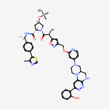 Cc1ncsc1-c1ccc([C@H](C)NC(=O)[C@@H]2C[C@@H](O[Si](C)(C)C(C)(C)C)CN2C(=O)C(c2cc(COc3cc(N4CCN5c6cc(-c7ccccc7O)nnc6NCC5C4)ccn3)no2)C(C)C)cc1